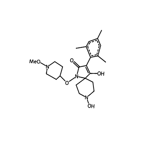 CON1CCC(ON2C(=O)C(c3c(C)cc(C)cc3C)=C(O)C23CCN(O)CC3)CC1